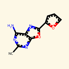 N#Cc1nc(N)c2nc(-c3ccco3)oc2n1